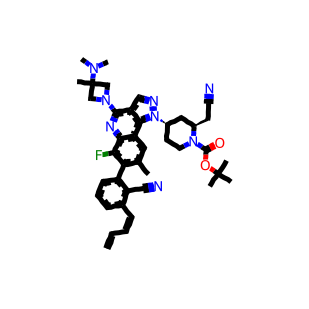 C=C/C=C\c1cccc(-c2c(C)cc3c(nc(N4CC(C)(N(C)C)C4)c4cnn([C@H]5CCN(C(=O)OC(C)(C)C)[C@H](CC#N)C5)c43)c2F)c1C#N